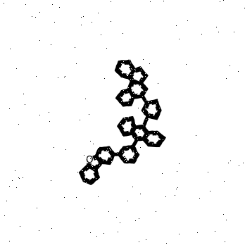 c1cc(-c2ccc3oc4ccccc4c3c2)cc(-c2c3ccccc3c(-c3cccc(-c4cc5ccc6ccccc6c5c5ccccc45)c3)c3ccccc23)c1